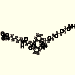 NOCCOCCOCCOCCn1nnc2c1-c1ccccc1CN(C(=O)CCC(=O)NCCCCCCOP(O)O)c1ccccc1-2